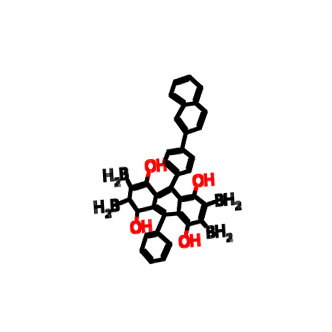 BC1=C(O)c2c(c(-c3ccccc3)c3c(O)c(B)c(B)c(O)c3c2-c2ccc(-c3ccc4ccccc4c3)cc2)C(O)C1B